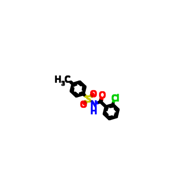 Cc1ccc(S(=O)(=O)NC(=O)c2ccccc2Cl)cc1